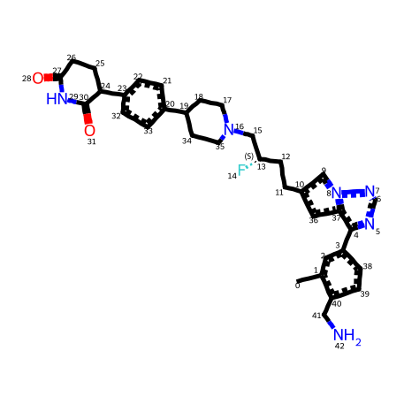 Cc1cc(-c2ncnn3cc(CC[C@H](F)CN4CCC(c5ccc(C6CCC(=O)NC6=O)cc5)CC4)cc23)ccc1CN